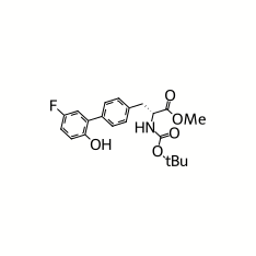 COC(=O)[C@@H](Cc1ccc(-c2cc(F)ccc2O)cc1)NC(=O)OC(C)(C)C